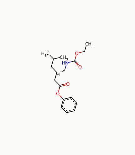 CCOC(=O)NC[C@H](CC(=O)Oc1ccccc1)CC(C)C